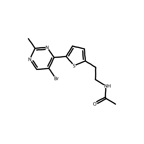 CC(=O)NCCc1ccc(-c2nc(C)ncc2Br)s1